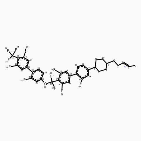 C/C=C/CCC1CCC(c2ccc(-c3cc(F)c(C(F)(F)Oc4ccc(-c5cc(F)c(C(F)(F)F)c(F)c5)c(F)c4)c(F)c3)c(F)c2)CC1